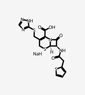 O=C(Cc1cccs1)N[C@@H]1C(=O)N2C(C(=O)O)=C(CSc3ncn[nH]3)CS[C@H]12.[NaH]